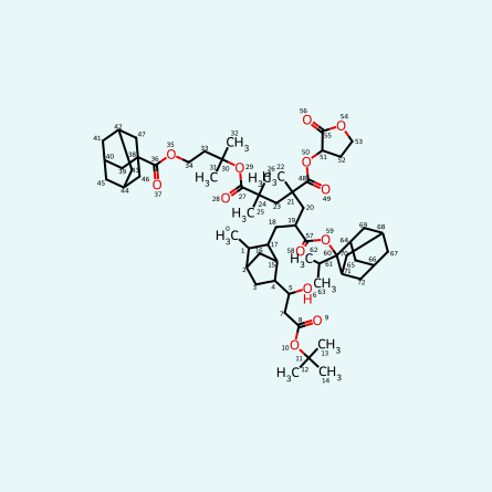 CC1C2CC(C(O)CC(=O)OC(C)(C)C)C(C2)C1CC(CC(C)(CC(C)(C)C(=O)OC(C)(C)CCOC(=O)C12CC3CC(CC(C3)C1)C2)C(=O)OC1CCOC1=O)C(=O)OC1(C(C)C)C2CC3CC(C2)CC1C3